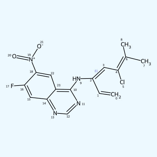 C=C/C(=C\C(Cl)=C(C)C)Nc1ncnc2cc(F)c([N+](=O)[O-])cc12